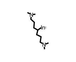 CN(C)CCC[CH]([In])CCCN(C)C